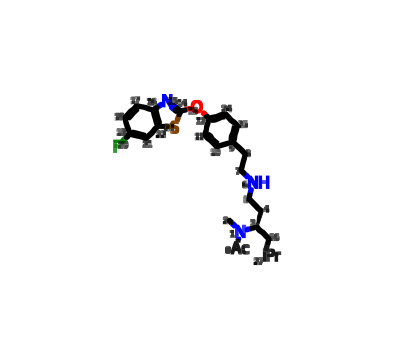 CC(=O)N(C)[C@@H](CCNCCc1ccc(Oc2nc3ccc(F)cc3s2)cc1)CC(C)C